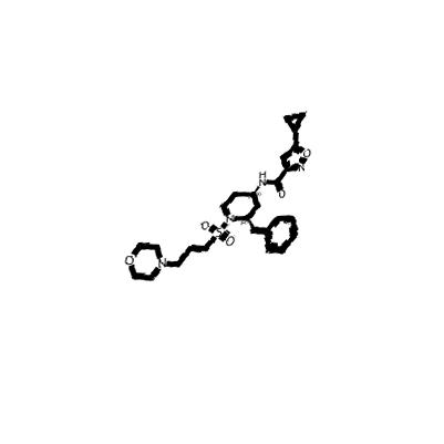 O=C(N[C@@H]1CCN(S(=O)(=O)CCCN2CCOCC2)[C@H](Cc2ccccc2)C1)c1cc(C2CC2)on1